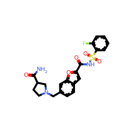 NC(=O)C1CCN(Cc2ccc3cc(C(=O)NS(=O)(=O)c4ccccc4F)oc3c2)C1